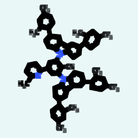 Cc1cccc(-c2cc(-n3c4ccc(-c5ccc(C(F)(F)F)cc5C(F)(F)F)cc4c4cc(-c5ccc(C(F)(F)F)cc5C(F)(F)F)ccc43)c(C#N)c(-n3c4ccc(-c5ccc(C(F)(F)F)cc5C(F)(F)F)cc4c4cc(-c5ccc(C(F)(F)F)cc5C(F)(F)F)ccc43)c2)n1